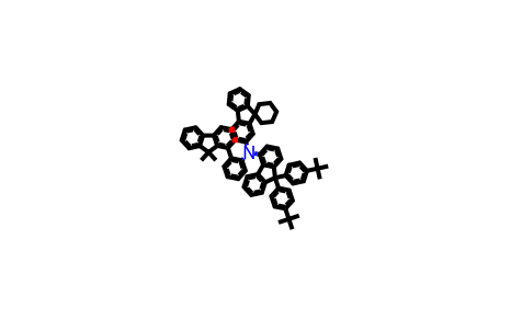 CC(C)(C)c1ccc(C2(c3ccc(C(C)(C)C)cc3)c3ccccc3-c3c(N(c4ccc5c(c4)C4(CCCCC4)c4ccccc4-5)c4ccccc4-c4cccc5c4C(C)(C)c4ccccc4-5)cccc32)cc1